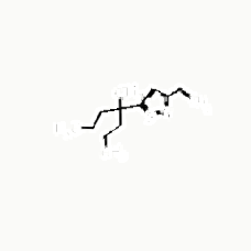 C=Cc1cc(C(C)(CCC)CCC)sn1